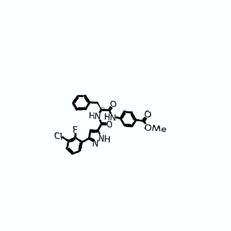 COC(=O)c1ccc(NC(=O)[C@H](Cc2ccccc2)NC(=O)c2cc(-c3cccc(Cl)c3F)n[nH]2)cc1